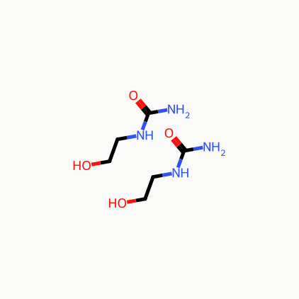 NC(=O)NCCO.NC(=O)NCCO